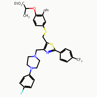 CCCc1cc(SCc2sc(-c3ccc(C(F)(F)F)cc3)nc2CN2CCN(c3ccc(F)cc3)CC2)ccc1OC(C)C(=O)OCC